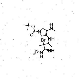 C=NNC(=N)C(C)(Br)C(C)NC1=C(NC)CN(C(=O)OC(C)(C)C)C1